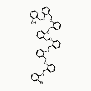 CCc1ccccc1OCc1ccccc1OCc1ccccc1OCc1ccccc1OCc1ccccc1OCc1ccccc1OCc1ccccc1OCc1ccccc1O